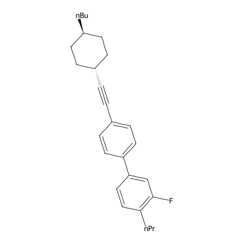 CCCC[C@H]1CC[C@H](C#Cc2ccc(-c3ccc(CCC)c(F)c3)cc2)CC1